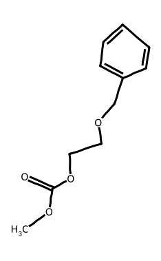 COC(=O)OCCOCc1ccccc1